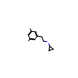 Cl.FC(F)(F)c1cc(CCNC2CC2)cc(C(F)(F)F)c1